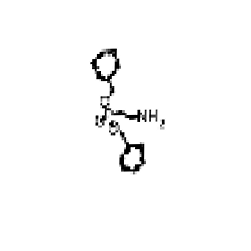 NCCP(=O)(OCc1ccccc1)OCc1ccccc1